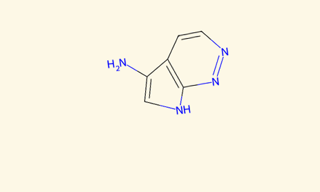 Nc1c[nH]c2nnccc12